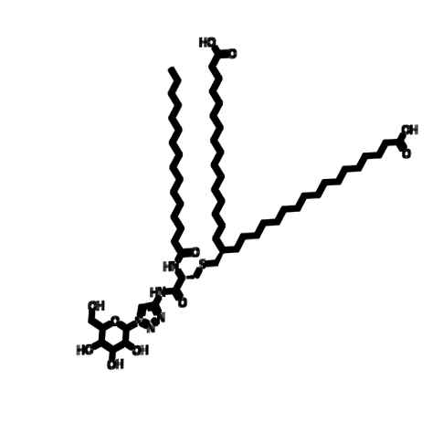 CCCCCCCCCCCCCCCC(=O)N[C@H](CSC[C@H](CCCCCCCCCCCCCCCCC(=O)O)CCCCCCCCCCCCCCCC(=O)O)C(=O)Nc1cn(C2OC(CO)C(O)C(O)C2O)nn1